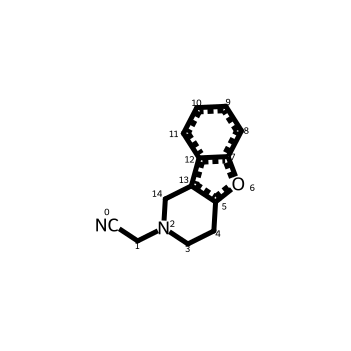 N#CCN1CCc2oc3ccccc3c2C1